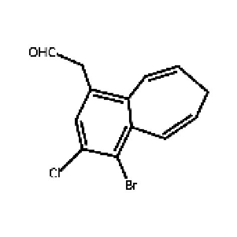 O=CCc1cc(Cl)c(Br)c2c1C=CCC=C2